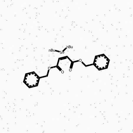 CCC[CH2][Sn][CH2]CCC.O=C(/C=C\C(=O)OCc1ccccc1)OCc1ccccc1